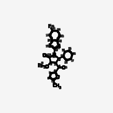 CCOC1=C(C(=O)c2ccc(C)o2)C(c2ccccc2)N(c2nc3ccc(F)cc3s2)C1=O